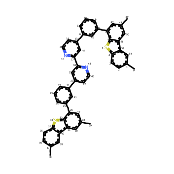 Cc1ccc2sc3c(-c4cccc(-c5ccnc(-c6cc(-c7cccc(-c8cc(C)cc9c8sc8ccc(C)cc89)c7)ccn6)c5)c4)cc(C)cc3c2c1